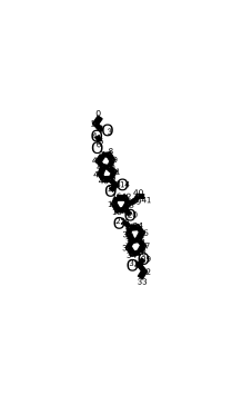 C=CC(=O)OCOc1ccc2cc(C(=O)Oc3ccc(OC(=O)c4ccc5cc(OC(=O)C=C)ccc5c4)c(CCC)c3)ccc2c1